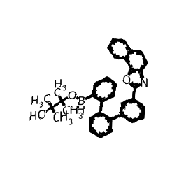 CC(C)(O)C(C)(C)OBc1ccccc1-c1ccccc1-c1cccc(-c2nc3ccc4ccccc4c3o2)c1